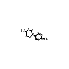 CCC1CCC(c2cnc(C#N)nc2)CC1